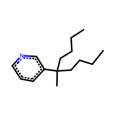 CCCCC(C)(CCCC)c1cccnc1